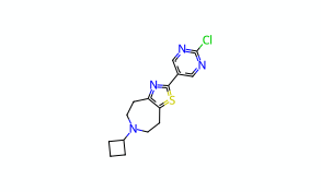 Clc1ncc(-c2nc3c(s2)CCN(C2CCC2)CC3)cn1